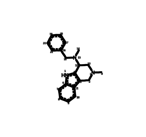 CN1Cc2c([nH]c3ccccc23)C(N(C)Cc2ccccc2)C1